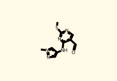 CSc1ncc(C=O)c(Nc2cnn(C)c2)n1